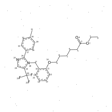 CCOC(=O)CCCCCOc1ccccc1Cn1c(C(F)(F)F)cnc1-c1ccc(C)cc1